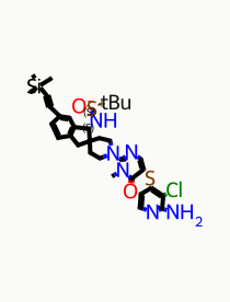 Cn1c(N2CCC3(CC2)Cc2ccc(C#C[Si](C)(C)C)cc2[C@H]3N[S@+]([O-])C(C)(C)C)ncc(Sc2ccnc(N)c2Cl)c1=O